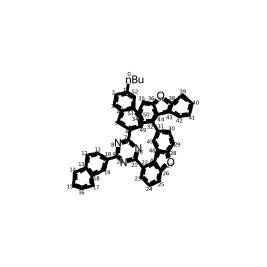 CCCCc1ccc2cc(-c3nc(-c4ccc5ccccc5c4)nc(-c4cccc5oc6ccc(-c7cccc8oc9ccccc9c78)cc6c45)n3)ccc2c1